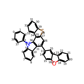 c1ccc(-n2c3ccccc3c3c(-c4ccc5oc6ccccc6c5c4)cc4sc5ccccc5c4c32)cc1